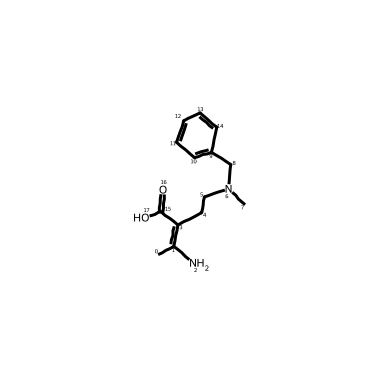 CC(N)=C(CCN(C)Cc1ccccc1)C(=O)O